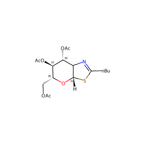 CCCCC1=NC2[C@@H](OC(C)=O)[C@H](OC(C)=O)[C@@H](COC(C)=O)O[C@H]2S1